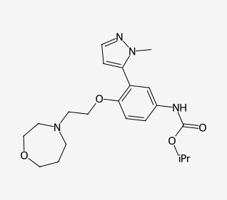 CC(C)OC(=O)Nc1ccc(OCCN2CCCOCC2)c(-c2ccnn2C)c1